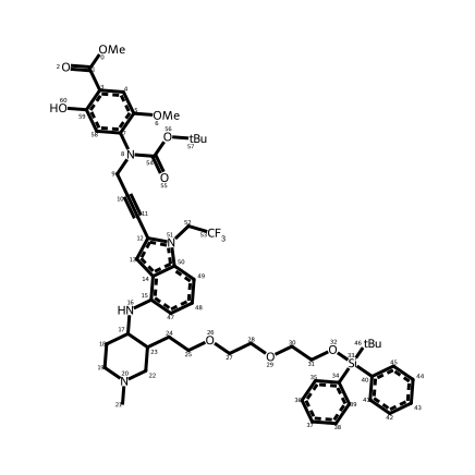 COC(=O)c1cc(OC)c(N(CC#Cc2cc3c(NC4CCN(C)CC4CCOCCOCCO[Si](c4ccccc4)(c4ccccc4)C(C)(C)C)cccc3n2CC(F)(F)F)C(=O)OC(C)(C)C)cc1O